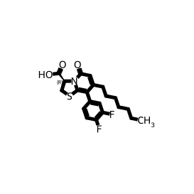 CCCCCCCc1cc(=O)n2c(c1-c1ccc(F)c(F)c1)SC[C@H]2C(=O)O